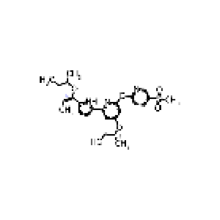 C/C=C(/OC(C)CC)c1ccc(-c2cc(O[C@@H](C)CO)cc(Oc3ccc(S(C)(=O)=O)cn3)n2)[nH]1